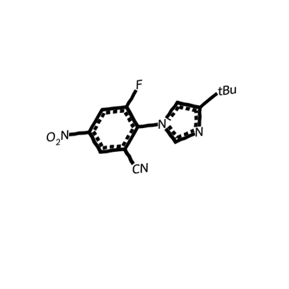 CC(C)(C)c1cn(-c2c(F)cc([N+](=O)[O-])cc2C#N)cn1